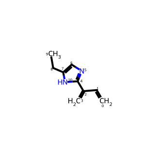 C=CC(=C)c1ncc(CC)[nH]1